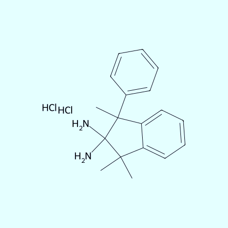 CC1(C)c2ccccc2C(C)(c2ccccc2)C1(N)N.Cl.Cl